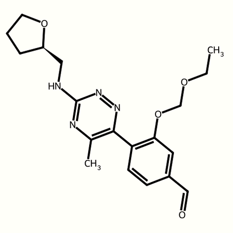 CCOCOc1cc(C=O)ccc1-c1nnc(NC[C@H]2CCCO2)nc1C